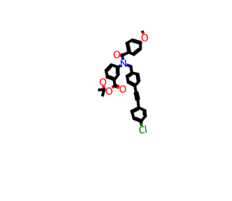 COc1ccc(C(=O)N(Cc2ccc(C#Cc3ccc(Cl)cc3)cc2)c2ccc3c(c2)C(=O)OC(C)(C)O3)cc1